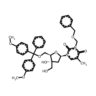 COc1ccc(C(OC[C@H]2O[C@@H](n3cc(C)c(=O)n(COCc4ccccc4)c3=O)C[C@@]2(O)CO)(c2ccccc2)c2ccc(OC)cc2)cc1